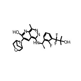 Cc1nnc(N[C@H](C)c2cccc(C(F)(F)C(C)(C)O)c2F)c2cc(N3C4COCC3C4)c(O)nc12